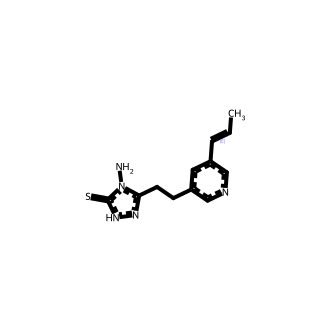 C/C=C/c1cncc(CCc2n[nH]c(=S)n2N)c1